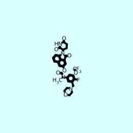 CN(C(=O)Oc1cc2c3c(cccc3c1)N(C1CCC(=O)NC1=O)C2=O)c1cc(CN2CCOCC2)c(F)c(OC(F)(F)F)c1